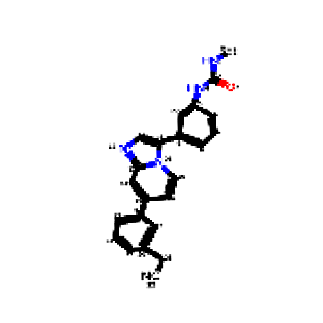 CCNC(=O)Nc1cccc(-c2cnc3cc(-c4cccc(CC#N)c4)ccn23)c1